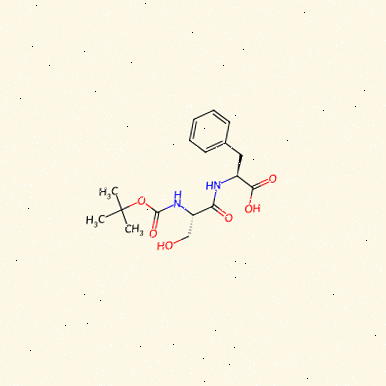 CC(C)(C)OC(=O)N[C@@H](CO)C(=O)N[C@@H](Cc1ccccc1)C(=O)O